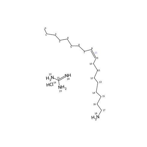 CCCCCCCC/C=C\CCCCCCCCN.Cl.N=C(N)N